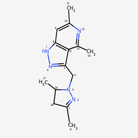 CC1=NN(Cc2n[nH]c3cc(C)nc(C)c23)C(C)C1